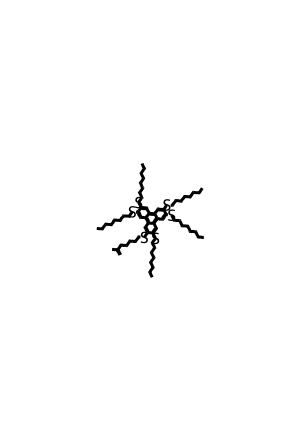 C=C(C)CCCCCSc1cc2c3cc(SCCCCCCCC)c(SCCCCCCCC)cc3c3cc(SCCCCCCCC)c(SCCCCCCCC)cc3c2cc1SCCCCCCCC